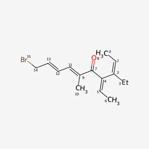 C/C=C(CC)\C(=C/C)C(=O)/C(C)=C/C=C/CBr